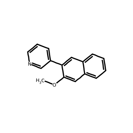 COc1cc2ccccc2cc1-c1cccnc1